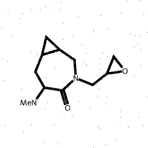 CNC1CC2CC2CN(CC2CO2)C1=O